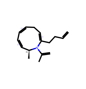 C=CCC/C1=C/C/C=C\C=C/[C@H](C)N1C(=C)C